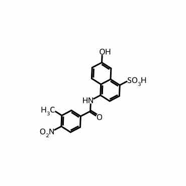 Cc1cc(C(=O)Nc2ccc(S(=O)(=O)O)c3cc(O)ccc23)ccc1[N+](=O)[O-]